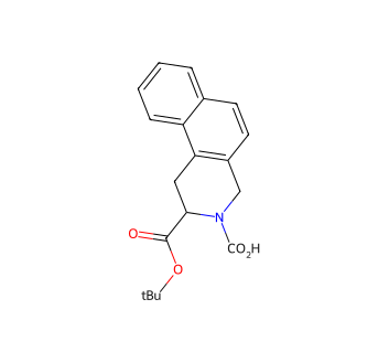 CC(C)(C)OC(=O)C1Cc2c(ccc3ccccc23)CN1C(=O)O